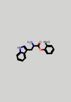 COc1ccccc1OC(=O)C(N)Cc1c[nH]c2ccccc12